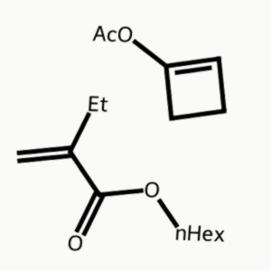 C=C(CC)C(=O)OCCCCCC.CC(=O)OC1=CCC1